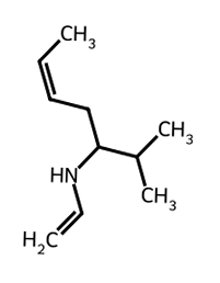 C=CNC(C/C=C\C)C(C)C